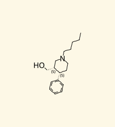 CCCCCN1CC[C@H](c2ccccc2)[C@H](CO)C1